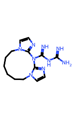 N=C(N)NC(=N)N1c2nccn2CCCCCCn2ccnc21